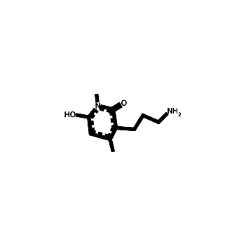 Cc1cc(O)n(C)c(=O)c1CCCN